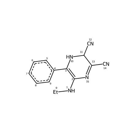 CCNC1=C(c2ccccc2)NC(C#N)C(C#N)=N1